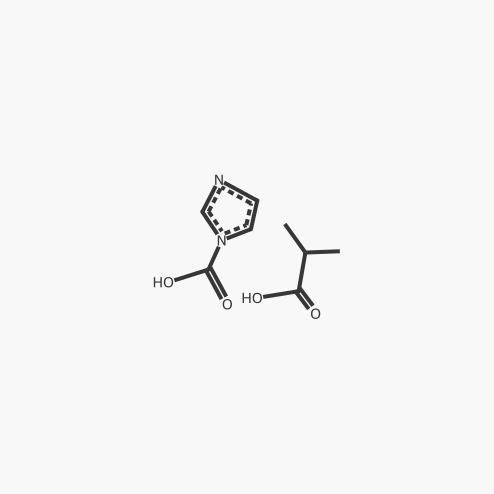 CC(C)C(=O)O.O=C(O)n1ccnc1